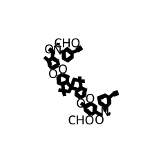 C#Cc1cccc(N(C)C(=O)c2cc3c(cc2C=O)Oc2cc4c(cc2O3)C(C)(C)CC42CC(C)(C)c3cc4c(cc32)Oc2cc(C(=O)N(C=O)c3cccc(C#C)c3)c(C)cc2O4)c1